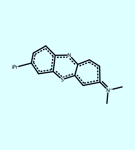 CC(C)c1ccc2nc3ccc(=[N+](C)C)cc-3sc2c1